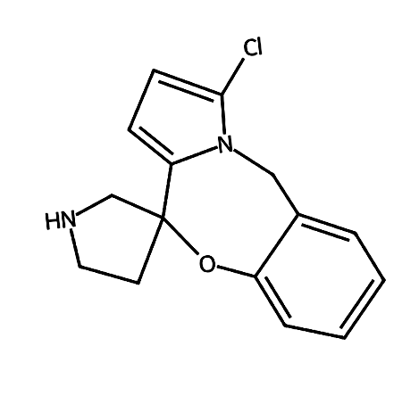 Clc1ccc2n1Cc1ccccc1OC21CCNC1